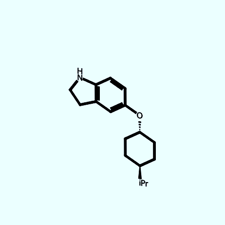 CC(C)[C@H]1CC[C@H](Oc2ccc3c(c2)CCN3)CC1